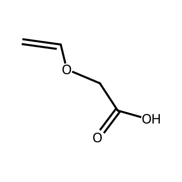 C=COCC(=O)O